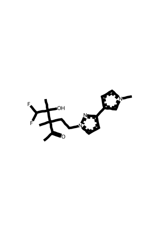 CC(=O)C(C)(CCn1ccc(-c2ccn(C)c2)n1)C(C)(O)C(F)F